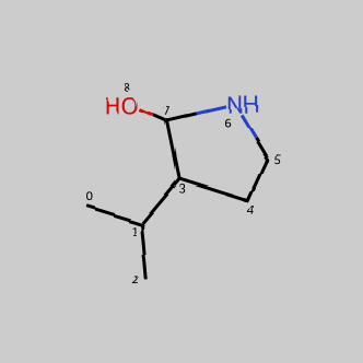 CC(C)C1CCNC1O